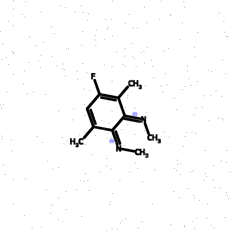 C/N=C1/C(C)=CC(F)=C(C)/C1=N/C